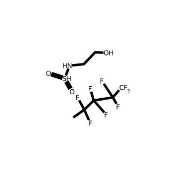 CC(F)(F)C(F)(F)C(F)(F)C(F)(F)F.O=[SH](=O)NCCO